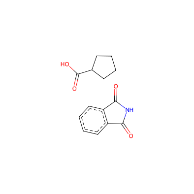 O=C(O)C1CCCC1.O=C1NC(=O)c2ccccc21